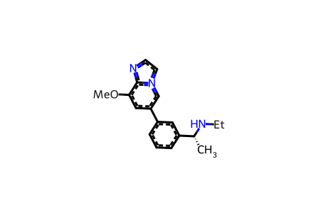 CCN[C@H](C)c1cccc(-c2cc(OC)c3nccn3c2)c1